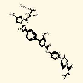 COC(=O)N[C@H](C(=O)N1C[C@@H](SC)C[C@H]1c1nc(-c2ccc(-c3ccc(C(=O)Nc4ccc(N5CCN(C(=O)[C@H]6CC6(C)C)CC5C)nc4)cc3OC(F)(F)F)cc2)c[nH]1)C(C)C